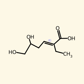 CC/C(=C\CC(O)CO)C(=O)O